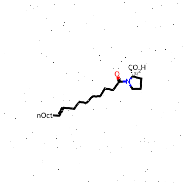 CCCCCCCCC=CCCCCCCCC(=O)N1CCC[C@H]1C(=O)O